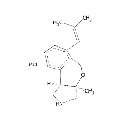 CC(C)=Cc1cccc2c1CO[C@@]1(C)CNC[C@@H]21.Cl